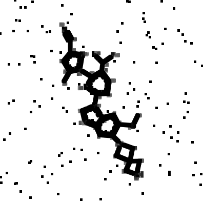 COc1cc2c(cc1N1CC3(CNC3)C1)ncn2-c1ccc(C(F)F)c(-n2nc(C#N)cc2C)n1